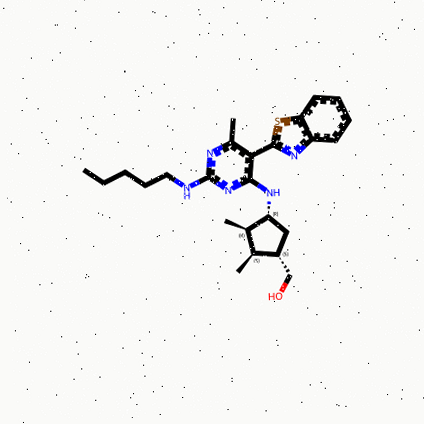 CCCCCNc1nc(C)c(-c2nc3ccccc3s2)c(N[C@@H]2C[C@H](CO)[C@@H](C)[C@H]2C)n1